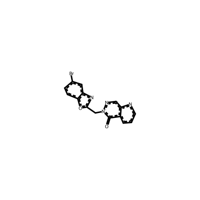 O=c1c2cccnc2[c]nn1Cc1nc2cc(Br)ccc2o1